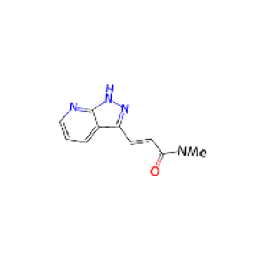 CNC(=O)C=Cc1n[nH]c2ncccc12